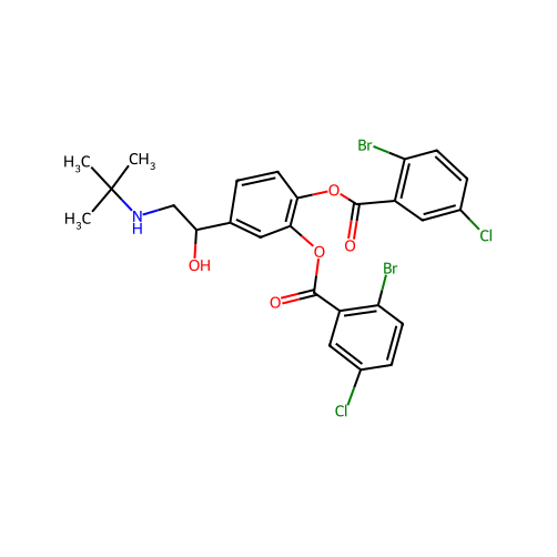 CC(C)(C)NCC(O)c1ccc(OC(=O)c2cc(Cl)ccc2Br)c(OC(=O)c2cc(Cl)ccc2Br)c1